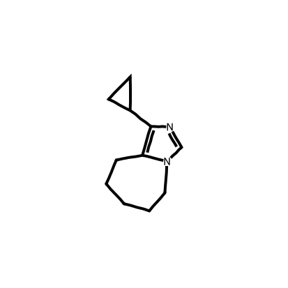 c1nc(C2CC2)c2n1CCCCC2